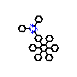 c1ccc(-c2nc(-c3ccccc3)nc(-c3ccc(-c4c(-c5ccccc5)c(-c5ccccc5)c(-c5ccccc5)c(-c5ccccc5)c4-c4ccccc4)cc3)n2)cc1